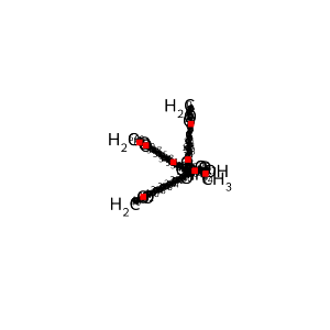 C=CCOOCCCCCCCCCCCOc1cc(C(=O)N[C@@H](C)C(=O)O)cc(OCCCCCCCCCCCOOCC=C)c1OCCCCCCCCCCCOOCC=C